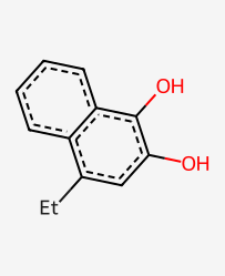 CCc1cc(O)c(O)c2ccccc12